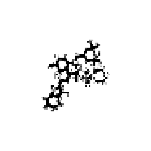 Cc1c(-c2cc(C(=O)NS(=O)(=O)N3CCOCC3)c3c(OCC4CC(C)(C)OC(C)(C)C4)ccc(C)c3n2)sc2ccccc12